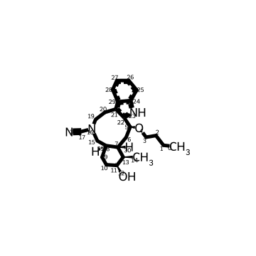 CCCCO[C@H]1C[C@H]2[C@@H](CC[C@H](O)[C@@H]2C)CN(C#N)CCc2c1[nH]c1ccccc21